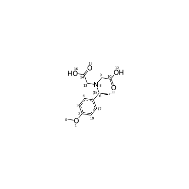 COc1ccc([C@H](C)N(CC(=O)O)CC(=O)O)cc1